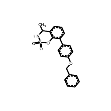 CC1NS(=O)(=O)Oc2c(-c3ccc(OCc4ccccc4)cc3)cccc21